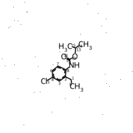 CCc1cc(Cl)ccc1NC(=O)OC(C)C